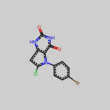 O=c1[nH]c(=O)c2c(cc(Cl)n2-c2ccc(Br)cc2)[nH]1